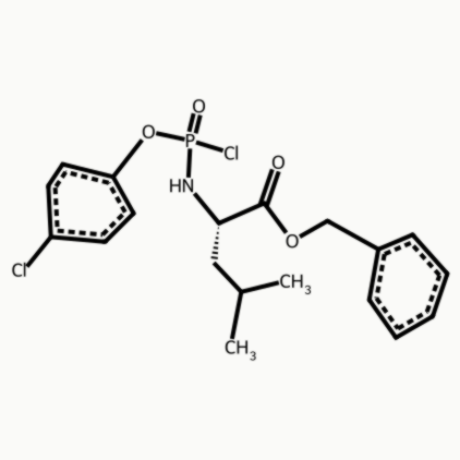 CC(C)C[C@H](NP(=O)(Cl)Oc1ccc(Cl)cc1)C(=O)OCc1ccccc1